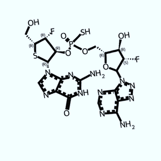 Nc1nc2c(ncn2[C@@H]2S[C@H](CO)[C@H](F)[C@H]2OP(=O)(S)OC[C@H]2OC(n3nnc4c(N)ncnc43)[C@@H](F)[C@@H]2O)c(=O)[nH]1